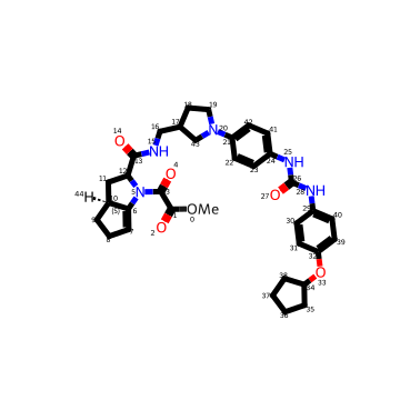 COC(=O)C(=O)N1C2=CCC[C@H]2CC1C(=O)NCC1CCN(c2ccc(NC(=O)Nc3ccc(OC4CCCC4)cc3)cc2)C1